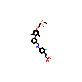 CCS(=O)(=O)CCOc1cc(C)c(-c2cccc(CNc3ccc(CCC(=O)O)c(F)c3)c2)c(C)c1